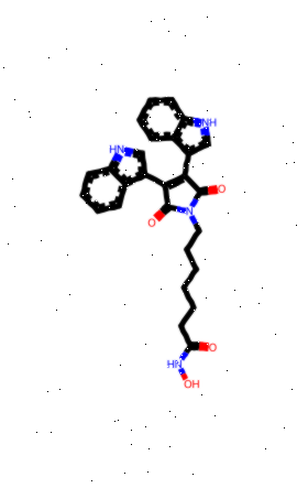 O=C(CCCCCCN1C(=O)C(c2c[nH]c3ccccc23)=C(c2c[nH]c3ccccc23)C1=O)NO